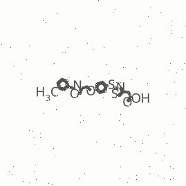 Cc1cccc(-c2nc(COc3ccc(Sc4nc(CC(=O)O)cs4)cc3)co2)c1